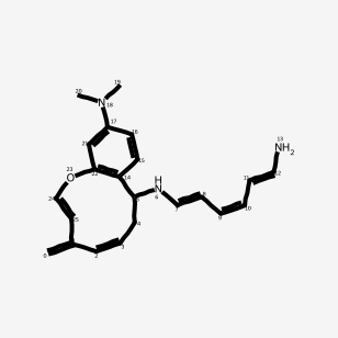 C=C1/C=C\CC(N/C=C/C=C\C=C\N)c2ccc(N(C)C)cc2O/C=C/1